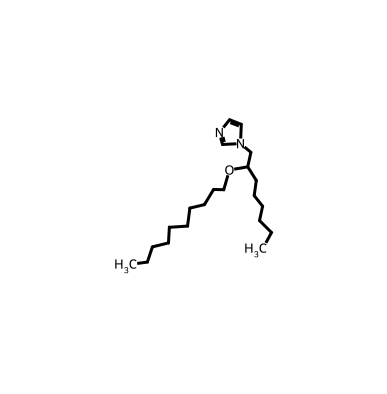 CCCCCCCCCCOC(CCCCCC)Cn1ccnc1